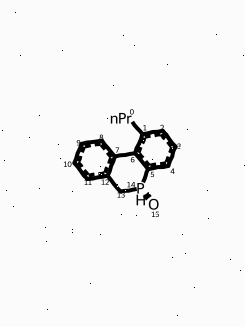 [CH2]CCc1cccc2c1-c1ccccc1C[PH]2=O